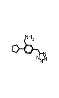 NCc1cc(CC2N=NN=N2)ccc1C1CCCC1